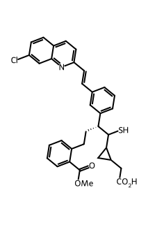 COC(=O)c1ccccc1CC[C@H](c1cccc(C=Cc2ccc3ccc(Cl)cc3n2)c1)C(S)C1CC1CC(=O)O